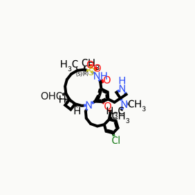 C[C@@H]1[C@@H](C)CCCC(C=O)[C@@H]2CC[C@H]2CN2CCCCC3C=C(Cl)C=CC3(C)COc3c(CC4(N(C)C)CNC4)cc(cc32)C(=O)NS1(=O)=O